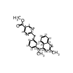 COC(=O)c1cnc(Cc2cccc(N(C)c3nc(C)nc4ccccc34)c2)nc1